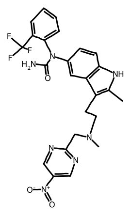 Cc1[nH]c2ccc(N(C(N)=O)c3ccccc3C(F)(F)F)cc2c1CCN(C)Cc1ncc([N+](=O)[O-])cn1